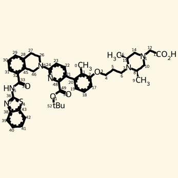 Cc1c(OCCCN2[C@H](C)CN(CC(=O)O)C[C@@H]2C)cccc1-c1ccc(N2CCc3cccc(C(=O)Nc4nc5ccccc5s4)c3C2)nc1C(=O)OC(C)(C)C